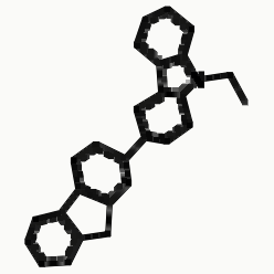 CCn1c2ccccc2c2cc(-c3ccc4c(c3)Cc3ccccc3-4)ccc21